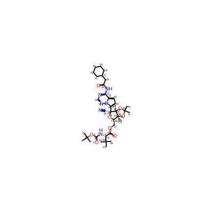 CC(C)(C)OC(=O)N[C@H](C(=O)OC[C@H]1O[C@@](C#N)(C2CC=C3C(NC(=O)CC4CCCCC4)=NC=NN32)[C@@H]2OC(C)(C)O[C@@H]21)C(C)(C)C